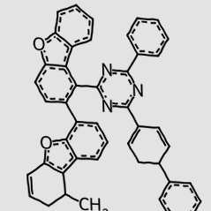 CC1CC=Cc2oc3c(-c4ccc5oc6ccccc6c5c4-c4nc(C5=CCC(c6ccccc6)C=C5)nc(-c5ccccc5)n4)cccc3c21